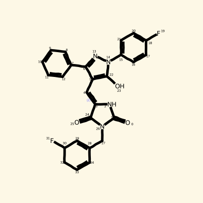 O=C1N/C(=C\c2c(-c3ccccc3)nn(-c3ccc(F)cc3)c2O)C(=O)N1CC1=CC(F)CC=C1